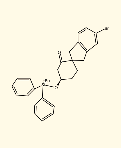 CC(C)(C)[Si](O[C@@H]1CCC2(Cc3ccc(Br)cc3C2)C(=O)C1)(c1ccccc1)c1ccccc1